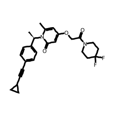 Cc1cc(OCC(=O)N2CCC(F)(F)CC2)cc(=O)n1[C@H](C)c1ccc(C#CC2CC2)cc1